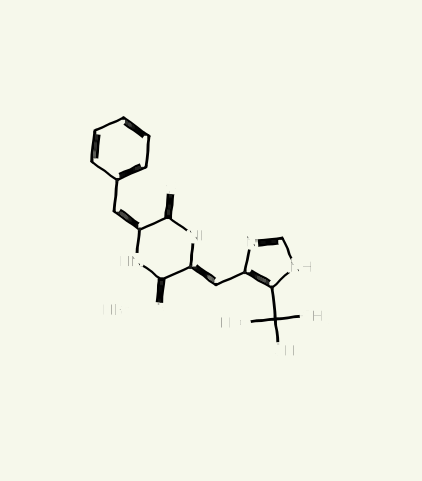 Br.CC(C)(C)c1[nH]cnc1C=c1[nH]c(=O)c(=Cc2ccccc2)[nH]c1=O